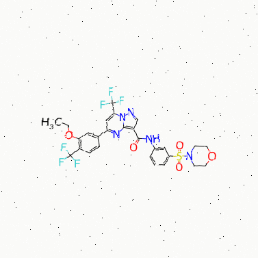 CCOc1cc(-c2cc(C(F)(F)F)n3ncc(C(=O)Nc4cccc(S(=O)(=O)N5CCOCC5)c4)c3n2)ccc1C(F)(F)F